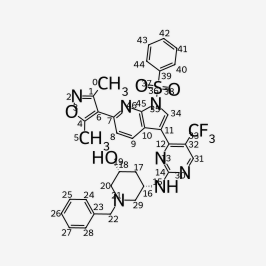 Cc1noc(C)c1-c1ccc2c(-c3nc(N[C@H]4C[C@@H](O)CN(Cc5ccccc5)C4)ncc3C(F)(F)F)cn(S(=O)(=O)c3ccccc3)c2n1